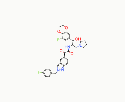 O=C(NC(CN1CCCC1)C(O)c1cc(F)c2c(c1)OCCO2)C(=O)c1ccc2nn(Cc3ccc(F)cc3)cc2c1